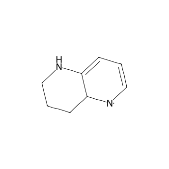 C1=C[N]C2CCCNC2=C1